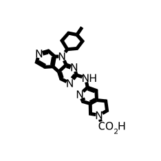 CC1CCC(n2c3cnccc3c3cnc(Nc4cc5c(cn4)CN(C(=O)O)CC5)nc32)CC1